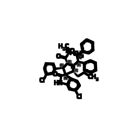 CCC[C@H]1N([C@H](c2ccccc2)[C@@H](O)c2ccccc2)[C@@H](C(=O)N(C)C)[C@H](c2cccc(Cl)c2)[C@@]12C(=O)Nc1cc(Cl)ccc12